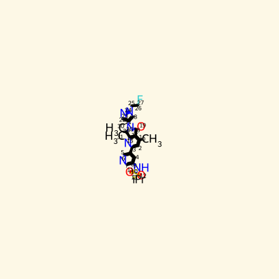 Cc1cc(-c2cncc(NS(=O)(=O)C(C)C)c2)nc2c1C(=O)N(c1cnn(CCF)c1)C2(C)C